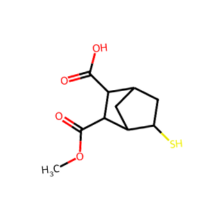 COC(=O)C1C2CC(CC2S)C1C(=O)O